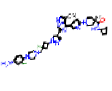 CCC1(C(=O)NC2CCC2)CCN(c2ccc(-c3nc(-c4cnn(C5CC(F)(CN6CCN(c7ccc(N)cc7F)CC6)C5)c4)cn4ncc(C#N)c34)cn2)CC1